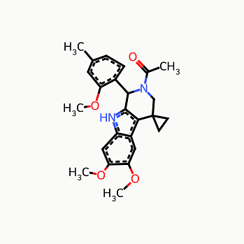 COc1cc2[nH]c3c(c2cc1OC)C1(CC1)CN(C(C)=O)C3c1ccc(C)cc1OC